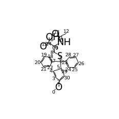 COc1ccc(C(SC[C@H](NC(C)=O)C(=O)O)(c2ccccc2)c2ccccc2)cc1